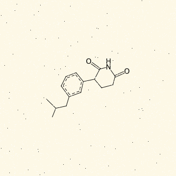 CC(C)Cc1cccc(C2CCC(=O)NC2=O)c1